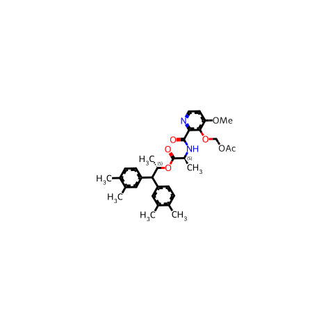 COc1ccnc(C(=O)N[C@@H](C)C(=O)O[C@@H](C)C(c2ccc(C)c(C)c2)c2ccc(C)c(C)c2)c1OCOC(C)=O